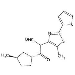 Cc1sc(-c2cccs2)nc1C(C=O)C(=O)[C@@H]1CC[C@@H](C)C1